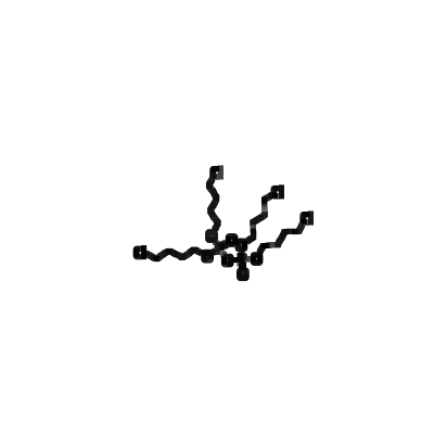 O=P(OCCCCCl)(OCCCCCl)OP(=O)(OCCCCCl)OCCCCCl